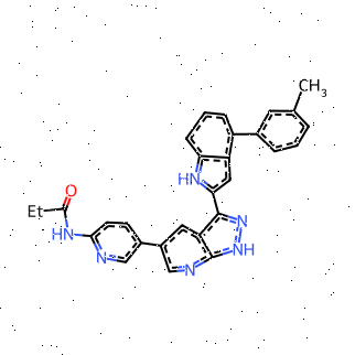 CCC(=O)Nc1ccc(-c2cnc3[nH]nc(-c4cc5c(-c6cccc(C)c6)cccc5[nH]4)c3c2)cn1